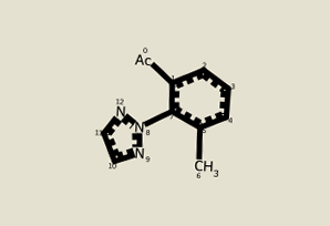 CC(=O)c1cccc(C)c1-n1nccn1